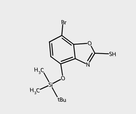 CC(C)(C)[Si](C)(C)Oc1ccc(Br)c2oc(S)nc12